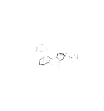 Cc1ccn2c(CC3CN(C(=O)O)CCO3)c(-c3c(F)cc(NC(=O)N(C)C)cc3F)nc2c1